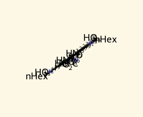 CCCCCCC(O)C/C=C/CCCCCCCC(=O)NCCN(CCNC(=O)CCCCCCC/C=C/CC(O)CCCCCC)C(=O)/C=C\C(=O)O